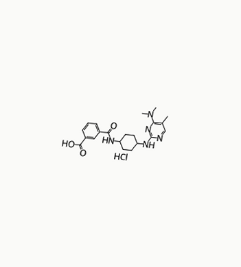 Cc1cnc(NC2CCC(NC(=O)c3cccc(C(=O)O)c3)CC2)nc1N(C)C.Cl